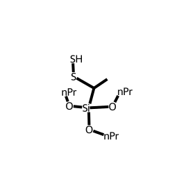 CCCO[Si](OCCC)(OCCC)C(C)SS